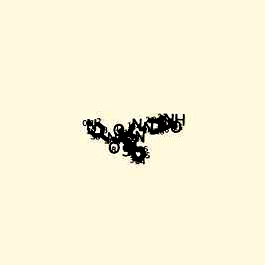 CN1CCC(CNC(=O)c2c(=O)c3cnc(N4CCC5(CC4)CNC(=O)C5)nc3n3c2sc2ccccc23)CC1